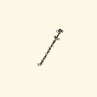 CCOCCOCCOCCOCCOCCOCCOCCOCCNC(=O)CCCCCN1C(=O)C=CC1=O